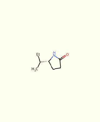 CCC(C)[C@H]1CCC(=O)N1